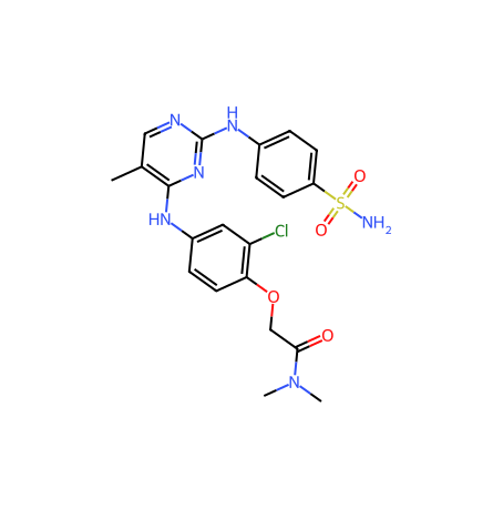 Cc1cnc(Nc2ccc(S(N)(=O)=O)cc2)nc1Nc1ccc(OCC(=O)N(C)C)c(Cl)c1